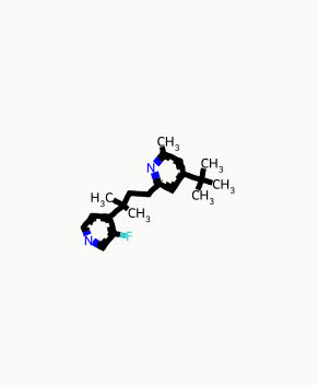 Cc1cc(C(C)(C)C)cc(CCC(C)(C)c2ccncc2F)n1